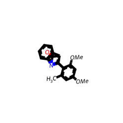 COc1cc(C)c(-c2c3c4ccccc4n2C3=O)c(OC)c1